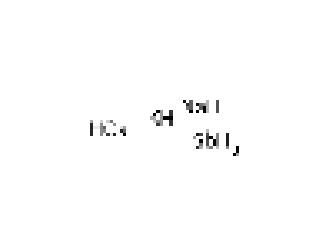 [CsH].[KH].[NaH].[SbH3]